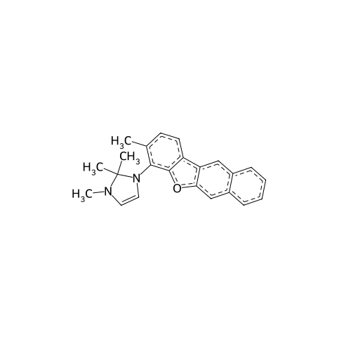 Cc1ccc2c(oc3cc4ccccc4cc32)c1N1C=CN(C)C1(C)C